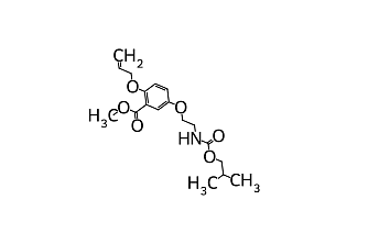 C=CCOc1ccc(OCCNC(=O)OCC(C)C)cc1C(=O)OC